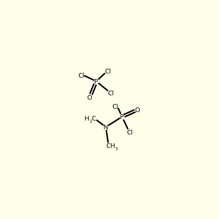 CN(C)P(=O)(Cl)Cl.O=P(Cl)(Cl)Cl